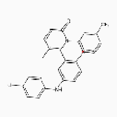 C=Nc1ccc(Nc2ccc(Cl)cc2)cc1-c1c(C)ccc(=O)n1-c1cccc(C(F)(F)F)c1